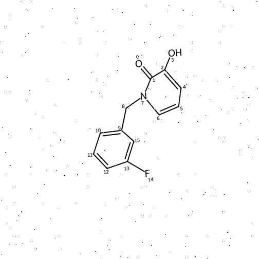 O=c1c(O)cccn1Cc1cccc(F)c1